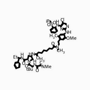 CCC(NC(=O)C1CC(NC(=O)CCCCCCC(=O)N(C)CCc2cc(OC)c(Nc3ncc(Cl)c(Nc4ccccc4S(=O)(=O)C(C)C)n3)cc2C)CN1C(=O)[C@@H](NC(=O)[C@H](C)NC)C(C)(C)C)c1ccccc1